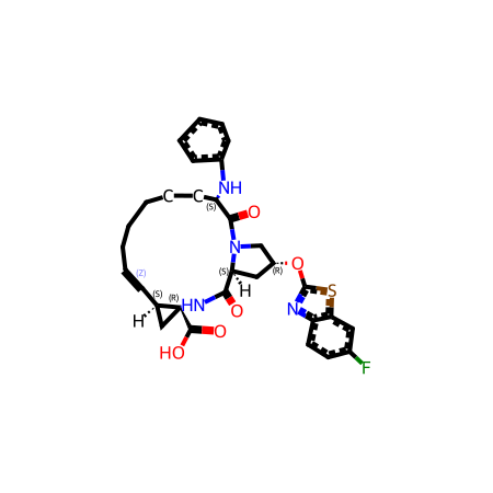 O=C1N[C@]2(C(=O)O)C[C@H]2/C=C\CCCCC[C@H](Nc2ccccc2)C(=O)N2C[C@H](Oc3nc4ccc(F)cc4s3)C[C@@H]12